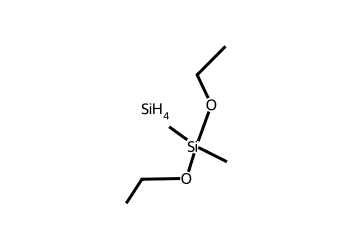 CCO[Si](C)(C)OCC.[SiH4]